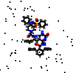 COc1cccc(OC)c1C(=O)Nc1nc(=O)[nH]cc1CC(NC(=O)N1CCC(NS(=O)(=O)c2ccccc2)(c2ccccc2)CC1)C(=O)O